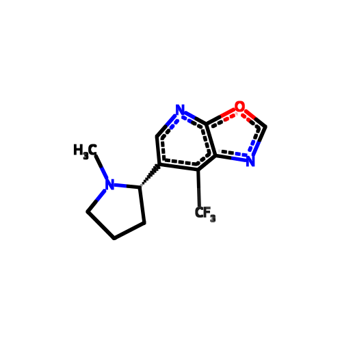 CN1CCC[C@H]1c1cnc2ocnc2c1C(F)(F)F